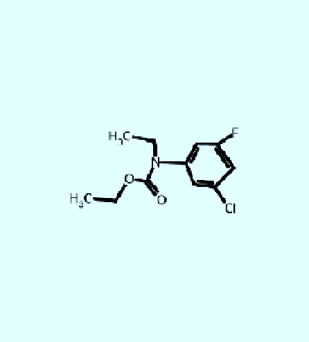 CCOC(=O)N(CC)c1cc(F)cc(Cl)c1